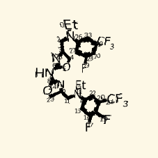 CCN(CC1COC(NC2=NC(CN(CC)c3cc(F)c(F)c(C(F)(F)F)c3)CO2)=N1)c1cc(F)cc(C(F)(F)F)c1